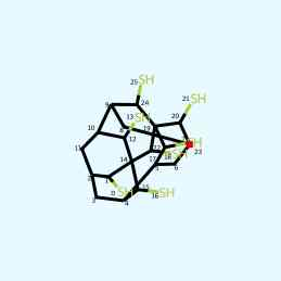 SC1C2CC3C4CC5CC6C(C2)C(S)C1(C3S)C(S)C(C5S)(C4S)C6S